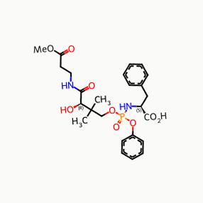 COC(=O)CCNC(=O)[C@H](O)C(C)(C)COP(=O)(N[C@@H](Cc1ccccc1)C(=O)O)Oc1ccccc1